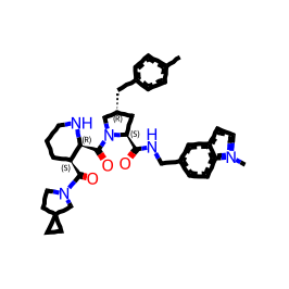 Cc1ccc(C[C@@H]2C[C@@H](C(=O)NCc3ccc4c(ccn4C)c3)N(C(=O)[C@@H]3NCCC[C@@H]3C(=O)N3CCC4(CC4)C3)C2)cc1